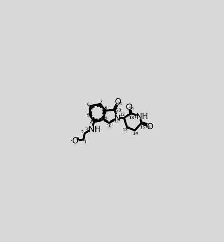 [O]CCNc1cccc2c1CN(C1CCC(=O)NC1=O)C2=O